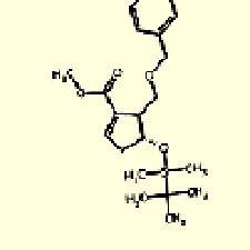 COC(=O)C1=CC[C@@H](O[Si](C)(C)C(C)(C)C)C1COCc1ccccc1